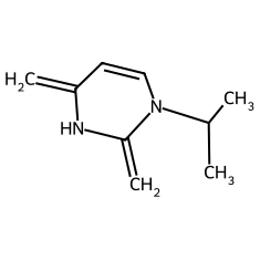 C=C1C=CN(C(C)C)C(=C)N1